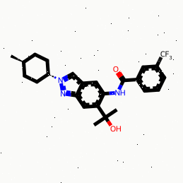 CC(C)(O)c1cc2nn([C@H]3CC[C@H](C)CC3)cc2cc1NC(=O)c1cccc(C(F)(F)F)c1